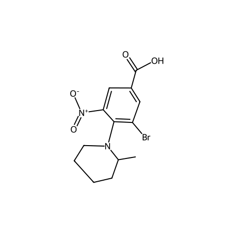 CC1CCCCN1c1c(Br)cc(C(=O)O)cc1[N+](=O)[O-]